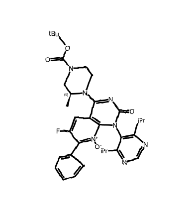 CC(C)c1ncnc(C(C)C)c1-n1c(=O)nc(N2CCN(C(=O)OC(C)(C)C)C[C@@H]2C)c2cc(F)c(-c3ccccc3)[n+]([O-])c21